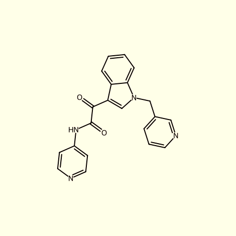 O=C(Nc1ccncc1)C(=O)c1cn(Cc2cccnc2)c2ccccc12